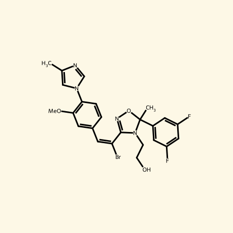 COc1cc(/C=C(/Br)C2=NOC(C)(c3cc(F)cc(F)c3)N2CCO)ccc1-n1cnc(C)c1